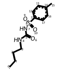 [CH2]CCCNC(=O)NS(=O)(=O)c1ccc(C)cc1